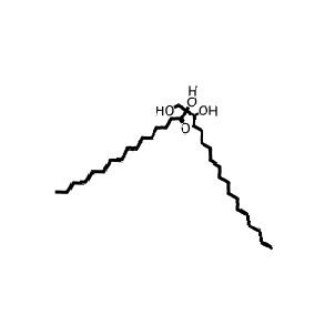 CCCCCCCCCCCCCCCCC(O)C(O)(CO)C(=O)CCCCCCCCCCCCCCC